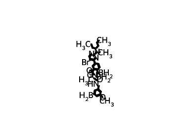 Bc1cc(CNC(=O)C(C)N2C(B)(B)c3ccc(-c4nc(N(C)C(CCC)CCC)ncc4Br)cc3S2(=O)=O)cc(OC)c1